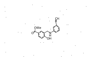 C#Cc1cccc(NCc2cc(C(=O)OC)ccc2O)c1